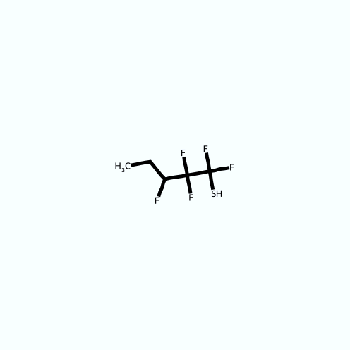 CCC(F)C(F)(F)C(F)(F)S